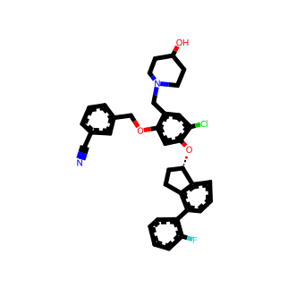 N#Cc1cccc(COc2cc(O[C@H]3CCc4c(-c5ccccc5F)cccc43)c(Cl)cc2CN2CCC(O)CC2)c1